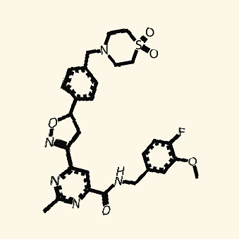 COc1cc(CNC(=O)c2cc(C3=NOC(c4ccc(CN5CCS(=O)(=O)CC5)cc4)C3)nc(C)n2)ccc1F